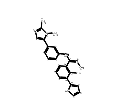 Cc1ncc(-c2cccc(N/C(=N/O)c3cccc(-c4cccs4)c3F)c2)n1C